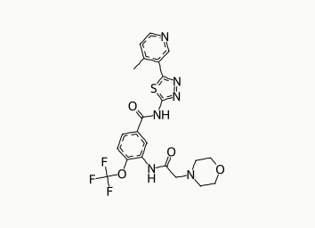 Cc1ccncc1-c1nnc(NC(=O)c2ccc(OC(F)(F)F)c(NC(=O)CN3CCOCC3)c2)s1